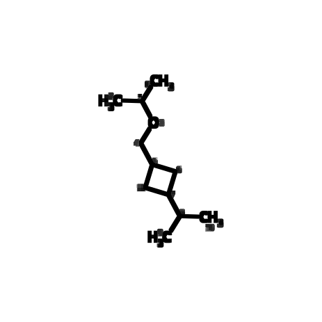 CC(C)OCC1CC(C(C)C)C1